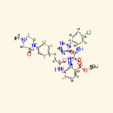 CC(C)N1CCN(c2ccc(CCC(=O)Nc3cccc(C(=O)OC(C)(C)C)c3NC(=O)C(=O)Nc3cc(Cl)ccc3-n3cnnn3)cc2)C(=O)C1